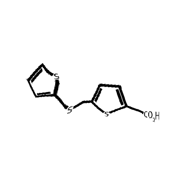 O=C(O)c1ccc(Sc2cccs2)s1